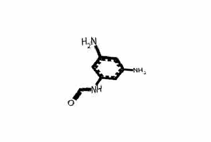 Nc1cc(N)cc(NC=O)c1